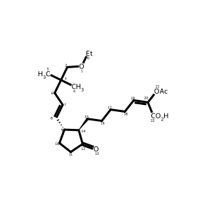 CCOCC(C)(C)CC=C[C@H]1CCC(=O)[C@@H]1CCCCC=C(OC(C)=O)C(=O)O